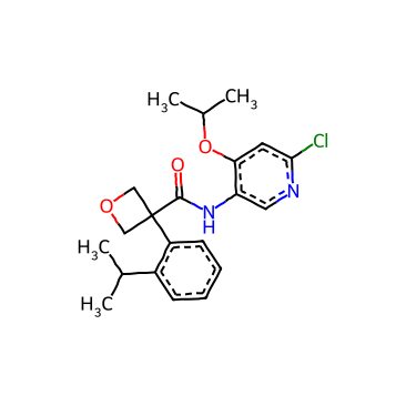 CC(C)Oc1cc(Cl)ncc1NC(=O)C1(c2ccccc2C(C)C)COC1